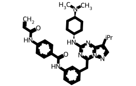 C=CC(=O)Nc1ccc(C(=O)Nc2cccc(Cc3nc(N[C@H]4CC[C@H](N(C)C)CC4)nc4c(C(C)C)cnn34)c2)cc1